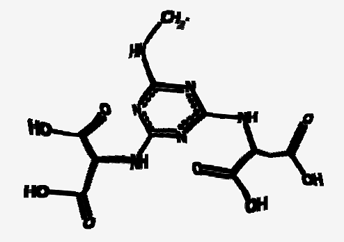 [CH2]Nc1nc(NC(C(=O)O)C(=O)O)nc(NC(C(=O)O)C(=O)O)n1